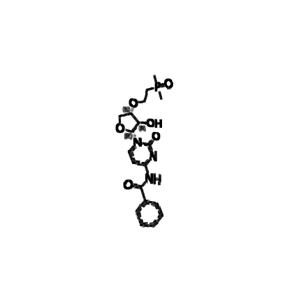 CP(C)(=O)CCO[C@H]1CO[C@@H](n2ccc(NC(=O)c3ccccc3)nc2=O)[C@@H]1O